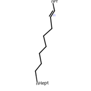 [CH2][CH]C/C=C/CCCCCCCCCCCCC